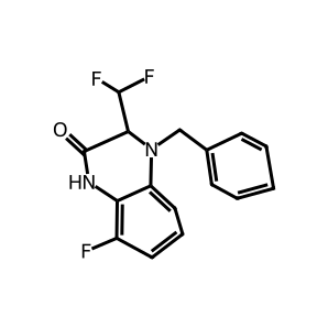 O=C1Nc2c(F)cccc2N(Cc2ccccc2)C1C(F)F